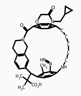 Cc1c2ccc(c1N=N)NCCCCCc1ccc(c3c1N(CC1CC1)C(=O)CO3)C(=O)N1CCc3ccc(cc3C1)C2C(C)(C)C(=O)O